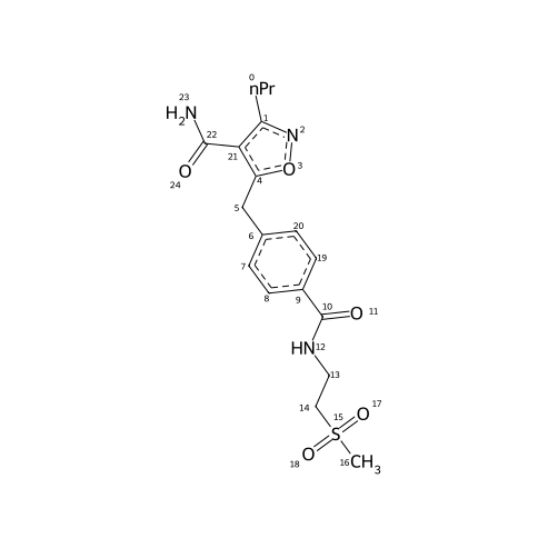 CCCc1noc(Cc2ccc(C(=O)NCCS(C)(=O)=O)cc2)c1C(N)=O